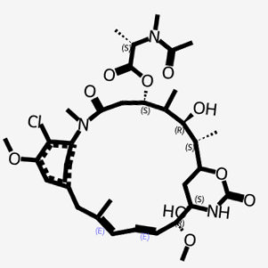 COc1cc2cc(c1Cl)N(C)C(=O)C[C@H](OC(=O)[C@H](C)N(C)C(C)=O)C(C)[C@@H](O)[C@H](C)C1C[C@@](O)(NC(=O)O1)[C@H](OC)/C=C/C=C(\C)C2